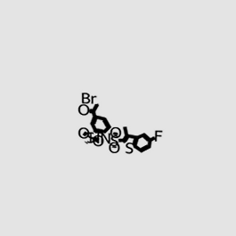 Cc1c(S(=O)(=O)Nc2ccc(C(=O)CBr)cc2S(C)(=O)=O)sc2ccc(F)cc12